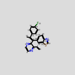 C=Cc1nccnc1/C(=C(\C)c1ccc(F)cc1)c1ccc2ncsc2c1